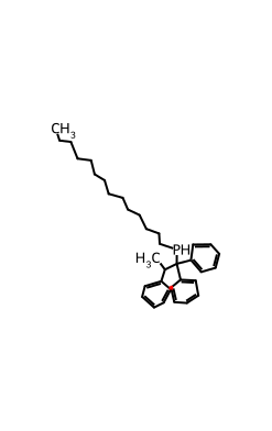 CCCCCCCCCCCCCCPC(c1ccccc1)(c1ccccc1)C(C)c1ccccc1